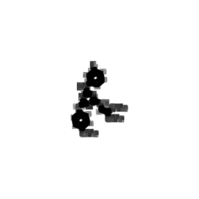 COc1ccc(Sc2nc(NCC(OC)OC)nc(Nc3cccc(F)c3)n2)cc1